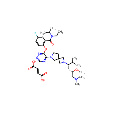 CCN(C(=O)c1cc(F)ccc1Oc1nncnc1N1CCC2(C1)CN([C@@H](C[C@@H](CN(C)C)OC)C(C)C)C2)C(C)C.O=C(O)/C=C/C(=O)O